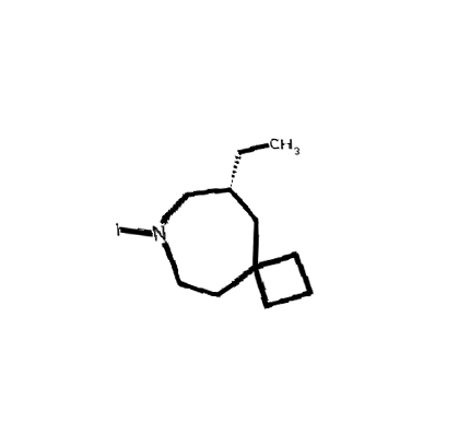 CC[C@H]1CN(I)CCC2(CCC2)C1